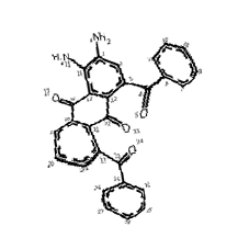 Nc1cc(C(=O)c2ccccc2)c2c(c1N)C(=O)c1cccc(C(=O)c3ccccc3)c1C2=O